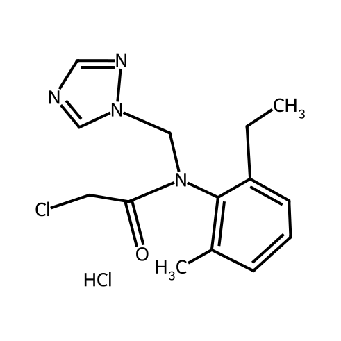 CCc1cccc(C)c1N(Cn1cncn1)C(=O)CCl.Cl